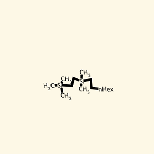 CCCCCCCC[Si](C)(C)CC[Si](C)(C)C